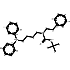 CC(C)(C)OC(=O)N(CCCCP(c1ccccc1)c1ccccc1)CCc1ccccc1